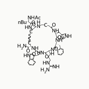 CCCC[C@H](NC(C)=O)C(=O)N[C@@H]1CSSC[C@@H](C(N)=O)NC(=O)[C@H](Cc2c[nH]c3ccccc23)NC(=O)[C@H](CCCNC(=N)N)NC(=O)[C@@H](Cc2ccccc2)NC(=O)[C@H](Cc2c[nH]cn2)NC(=O)CCCNC1=O